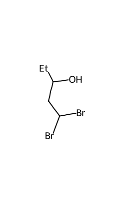 CCC(O)CC(Br)Br